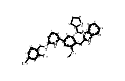 COc1cc(-c2cccc(OCc3ccc(Cl)cc3F)n2)ccc1Cc1nc2ccccc2n1CC1CCCO1